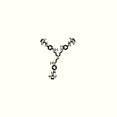 Cn1cc[n+](C)c1/N=N/c1ccc(NCCCN(CCCNc2ccc(/N=N/c3n(C)cc[n+]3C)cc2)CCCNc2ccc(/N=N/c3n(C)cc[n+]3C)cc2)cc1